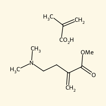 C=C(C)C(=O)O.C=C(CCN(C)C)C(=O)OC